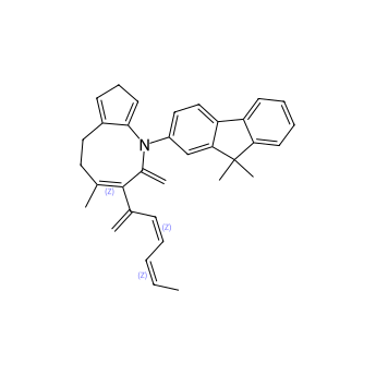 C=C(/C=C\C=C/C)/C1=C(\C)CCC2=CCC=C2N(c2ccc3c(c2)C(C)(C)c2ccccc2-3)C1=C